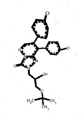 CC(C)(C)OCC(O)Cn1nc2c(-c3ccc(Cl)cc3)c(-c3ccc(Cl)cc3)cnn2c1=O